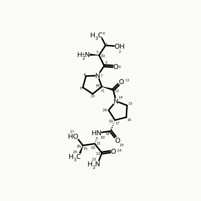 CC(O)[C@H](N)C(=O)N1CCC[C@@H]1C(=O)N1CC[C@H](C(=O)N[C@H](C(N)=O)[C@@H](C)O)C1